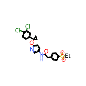 CCS(=O)(=O)c1ccc(CC(=O)Nc2ccc(OC3(c4ccc(Cl)c(Cl)c4)CC3)nc2)cc1